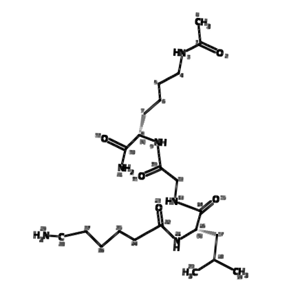 CC(=O)NCCCC[C@H](NC(=O)CNC(=O)[C@H](CC(C)C)NC(=O)CCCCCN)C(N)=O